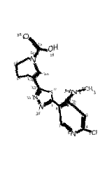 CNc1cc(Cl)ncc1-c1nnc(C2CCN(C(=O)O)C2)s1